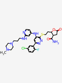 CN1CCN(CCCNc2cc(Nc3cc(-c4cc(Cl)ccc4F)nnc3SCCC3OC(=O)CC3C(N)=O)ccn2)CC1